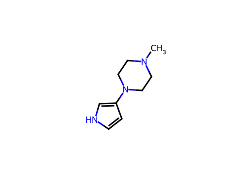 CN1CCN(c2cc[nH]c2)CC1